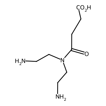 NCCN(CCN)C(=O)CCC(=O)O